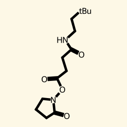 CC(C)(C)CCNC(=O)CCC(=O)ON1CCCC1=O